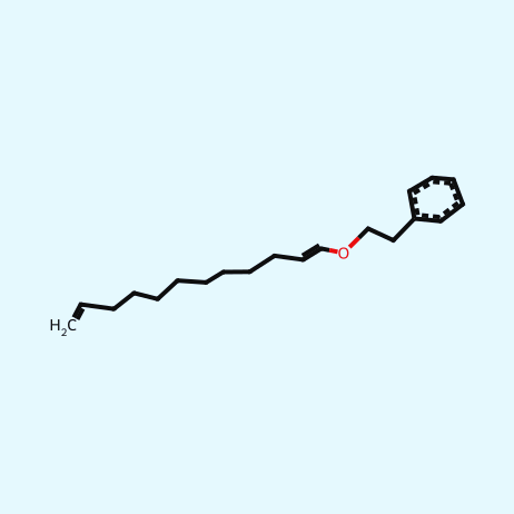 C=CCCCCCCCCC=COCCc1ccccc1